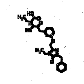 CC[C@H](C(=N)C(=O)Cc1cccc(OCc2nn(Cc3ccccc3)c(=O)n2CC)c1)C(=O)O